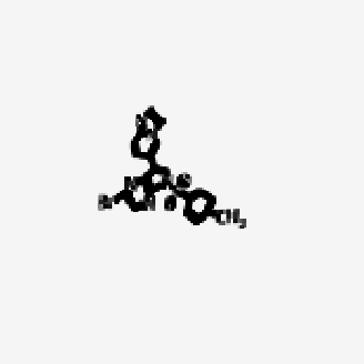 Cc1ccc(S(=O)(=O)n2cc(-c3ccc4nccn4c3)c3nc(Br)cnc32)cc1